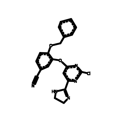 N#Cc1ccc(OCc2ccccc2)c(Oc2cc(C3=NCCN3)nc(Cl)n2)c1